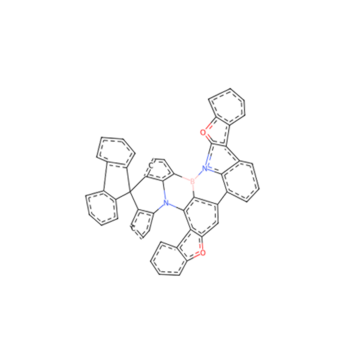 c1ccc2c(c1)-c1ccccc1C21c2ccccc2N2c3c(cccc31)B1c3c(cc4oc5ccccc5c4c32)-c2cccc3c4c5ccccc5oc4n1c23